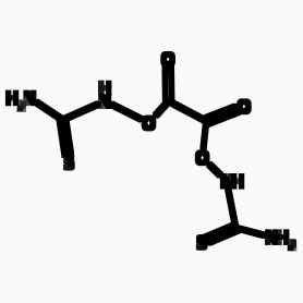 NC(=S)NOC(=O)C(=O)ONC(N)=S